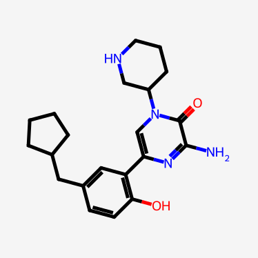 Nc1nc(-c2cc(CC3CCCC3)ccc2O)cn(C2CCCNC2)c1=O